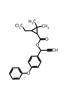 C#CC(OC(=O)C1C(CC(Cl)(Cl)Cl)C1(C)C)c1ccc(Oc2ccccc2)cc1